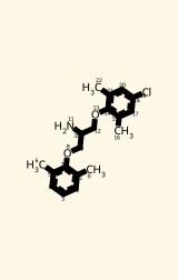 Cc1cccc(C)c1OCC(N)COc1c(C)cc(Cl)cc1C